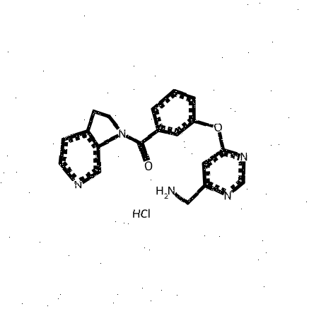 Cl.NCc1cc(Oc2cccc(C(=O)N3CCc4ccncc43)c2)ncn1